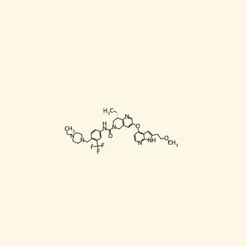 CC[C@H]1CN(C(=O)Nc2ccc(CN3CCN(CC)CC3)c(C(F)(F)F)c2)Cc2cc(Oc3ccnc4[nH]c(CCOC)cc34)cnc21